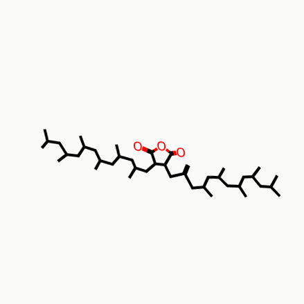 C=C(CC(C)CC(C)CC(C)CC(C)CC(C)C)CC1C(=O)OC(=O)C1CC(C)CC(C)CC(C)CC(C)CC(C)CC(C)C